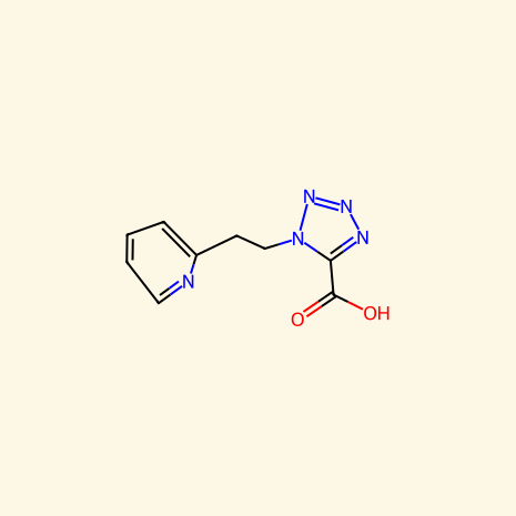 O=C(O)c1nnnn1CCc1ccccn1